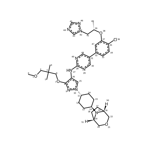 COCC(C)(C)COc1nn([C@H]2CC[C@H](N3[C@@H]4CC[C@H]3COC4)CC2)cc1Nc1ncc(-c2ccc(Cl)c(O[C@@H](C)Cn3cncn3)c2)cn1